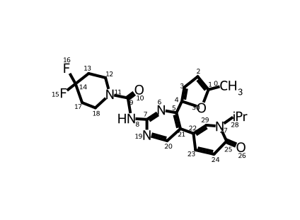 Cc1ccc(-c2nc(NC(=O)N3CCC(F)(F)CC3)ncc2-c2ccc(=O)n(C(C)C)c2)o1